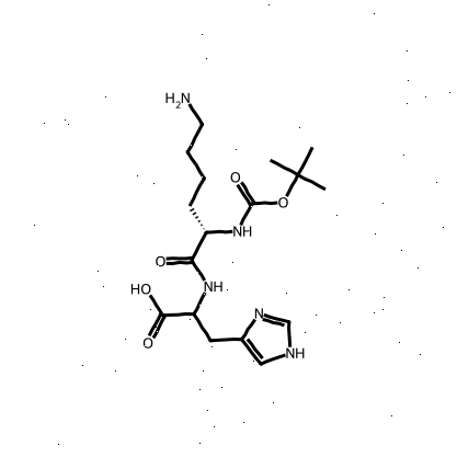 CC(C)(C)OC(=O)N[C@@H](CCCCN)C(=O)NC(Cc1c[nH]cn1)C(=O)O